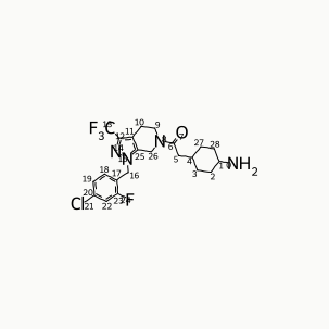 NC1CCC(CC(=O)N2CCc3c(C(F)(F)F)nn(Cc4ccc(Cl)cc4F)c3C2)CC1